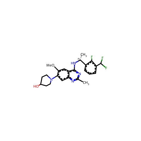 COc1cc2c(N[C@H](C)c3cccc(C(F)F)c3F)nc(C)nc2cc1N1CCC(O)CC1